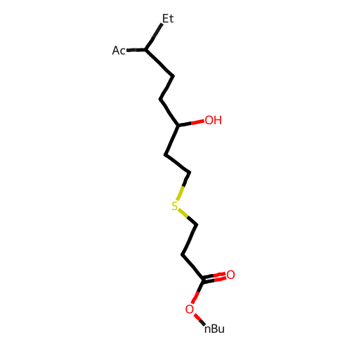 CCCCOC(=O)CCSCCC(O)CCC(CC)C(C)=O